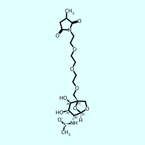 CC1CC(=O)N(CCOCCOCCOC[C@@]23CO[C@H](O2)[C@H](N[S+](C)[O-])[C@@H](O)[C@H]3O)C1=O